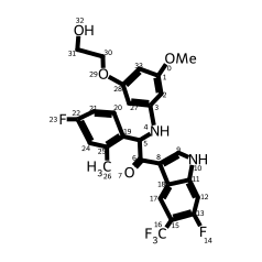 COc1cc(NC(C(=O)c2c[nH]c3cc(F)c(C(F)(F)F)cc23)c2ccc(F)cc2C)cc(OCCO)c1